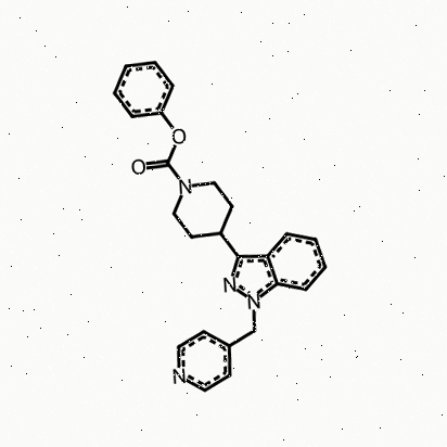 O=C(Oc1ccccc1)N1CCC(c2nn(Cc3ccncc3)c3ccccc23)CC1